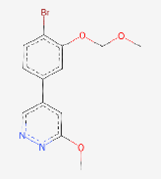 COCOc1cc(-c2cnnc(OC)c2)ccc1Br